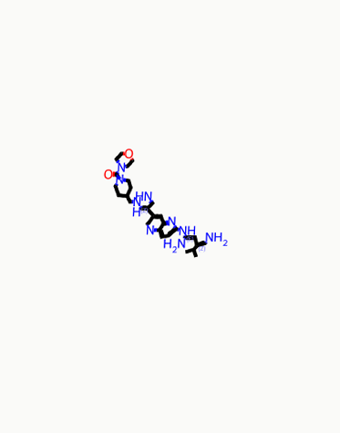 CC(C)C(=C/N)/C=C(\N)Nc1ccc2ncc(/C(C=N)=C/NCC3CCN(C(=O)N4CCOCC4)CC3)cc2n1